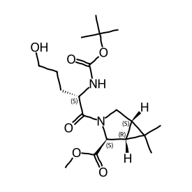 COC(=O)[C@@H]1[C@@H]2[C@H](CN1C(=O)[C@H](CCCO)NC(=O)OC(C)(C)C)C2(C)C